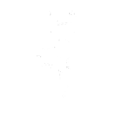 COCCn1ncc2c(-c3ccc(N)c(F)c3)cncc21